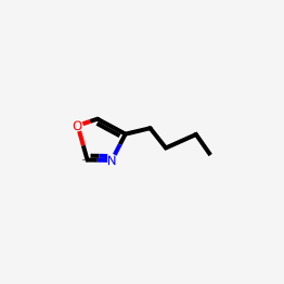 CCCCc1co[c]n1